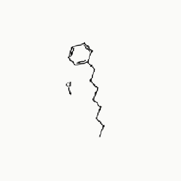 CCCCCCCCc1ccccc1.CCl